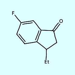 CCC1CC(=O)c2cc(F)ccc21